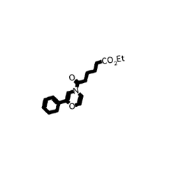 CCOC(=O)CCCCC(=O)N1C=COC(C2=CC=CCC2)=C1